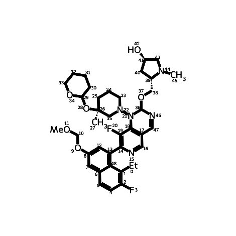 CCc1c(F)ccc2cc(OCOC)cc(-c3ncc4c(c3F)N(N3CCC[C@](C)(OC5CCCCO5)C3)C(OC[C@@H]3C[C@@H](O)CN3C)N=C4)c12